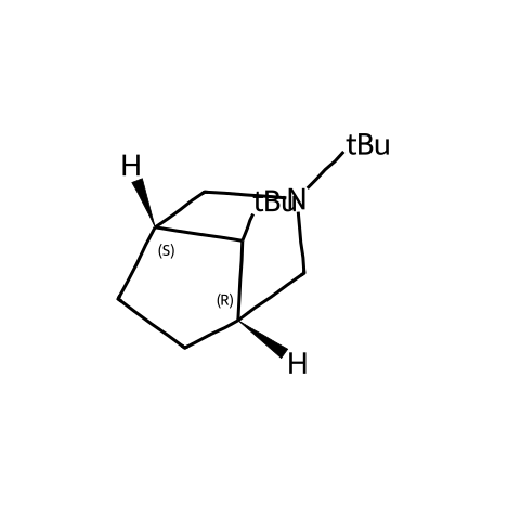 CC(C)(C)C1[C@@H]2CC[C@H]1CN(C(C)(C)C)C2